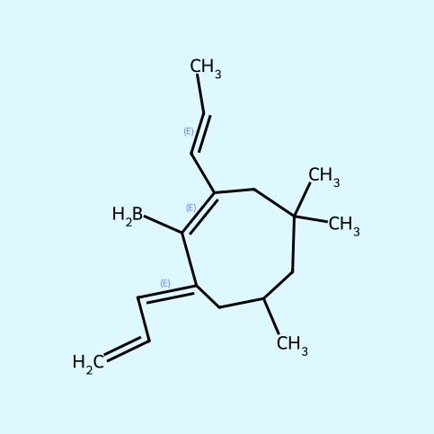 B/C1=C(\C=C\C)CC(C)(C)CC(C)C\C1=C/C=C